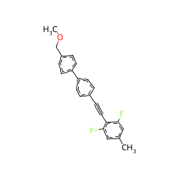 COCc1ccc(-c2ccc(C#Cc3c(F)cc(C)cc3F)cc2)cc1